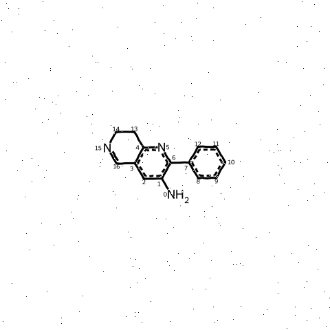 Nc1cc2c(nc1-c1ccccc1)CCN=C2